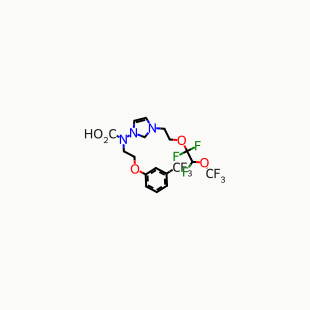 O=C(O)N(CCOc1cccc(C(F)(F)F)c1)N1C=CN(CCOC(F)(F)C(F)OC(F)(F)F)C1